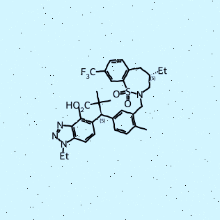 CC[C@H]1Cc2ccc(C(F)(F)F)cc2S(=O)(=O)N(Cc2cc([C@@H](c3ccc4c(nnn4CC)c3C)C(C)(C)C(=O)O)ccc2C)C1